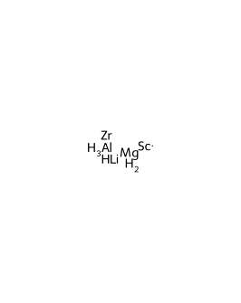 [AlH3].[LiH].[MgH2].[Sc].[Zr]